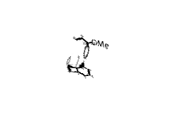 C1=Cc2ccccc21.C=CC(=O)OC